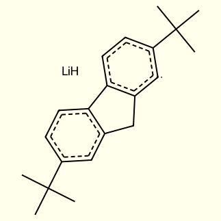 CC(C)(C)c1[c]c2c(cc1)-c1ccc(C(C)(C)C)cc1C2.[LiH]